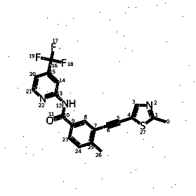 Cc1ncc(C#Cc2cc(C(=O)Nc3cc(C(F)(F)F)ccn3)ccc2C)s1